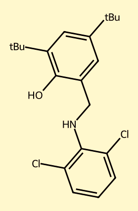 CC(C)(C)c1cc(CNc2c(Cl)cccc2Cl)c(O)c(C(C)(C)C)c1